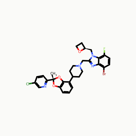 C[C@]1(c2ccc(Cl)cn2)Oc2cccc(C3CCN(Cc4nc5c(Br)ccc(F)c5n4C[C@@H]4CCO4)CC3)c2O1